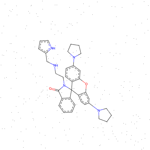 O=C1c2ccccc2C2(c3ccc(N4CCCC4)cc3Oc3cc(N4CCCC4)ccc32)N1CCNCc1ccc[nH]1